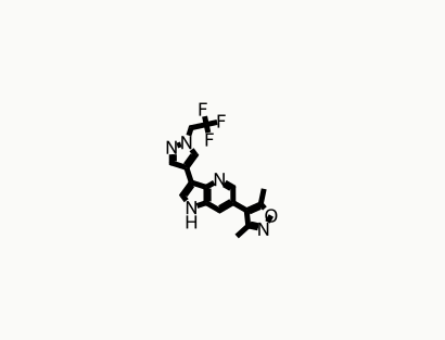 Cc1noc(C)c1-c1cnc2c(-c3cnn(CC(F)(F)F)c3)c[nH]c2c1